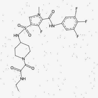 CCNC(=O)C(=O)N1CCC(NS(=O)(=O)c2cn(C)c(C(=O)Nc3cc(F)c(F)c(F)c3)c2F)CC1